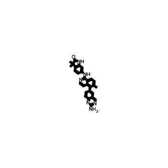 Cc1ccc2c(Nc3ccc4c(c3)NC(=O)C4(C)C)nccc2c1-c1ccc2nc(N)ncc2c1